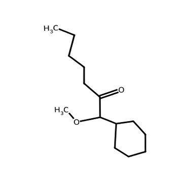 CCCCCC(=O)C(OC)C1CCCCC1